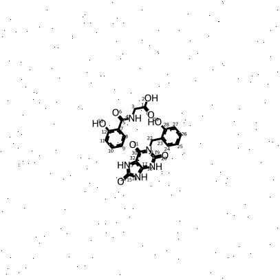 O=C(O)CNC(=O)c1ccccc1O.O=c1[nH]c2[nH]c(=O)n(Cc3ccccc3O)c(=O)c2[nH]1